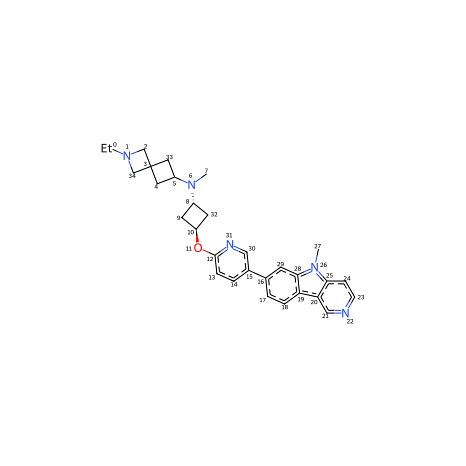 CCN1CC2(CC(N(C)[C@H]3C[C@H](Oc4ccc(-c5ccc6c7cnccc7n(C)c6c5)cn4)C3)C2)C1